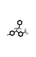 C[C@@H](NC(c1ccc(F)cc1)c1cccc([N+](=O)[O-])c1)c1ccccc1